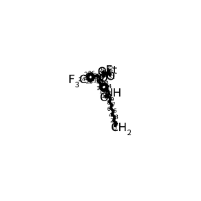 C=CCCCCCCCCC(=O)Nc1ccc(CN(Cc2ccc(C(F)(F)F)cc2)OC(=O)C(=O)CC)cc1